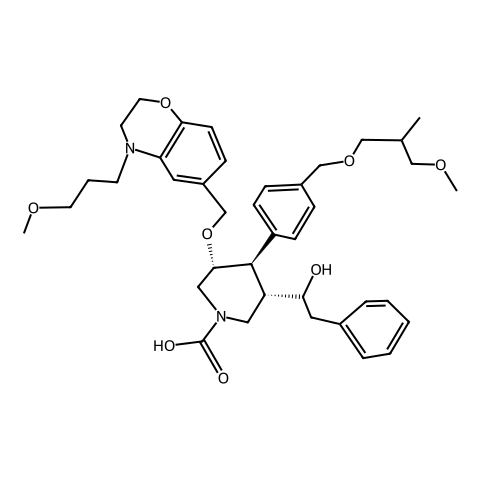 COCCCN1CCOc2ccc(CO[C@H]3CN(C(=O)O)C[C@@H](C(O)Cc4ccccc4)[C@@H]3c3ccc(COCC(C)COC)cc3)cc21